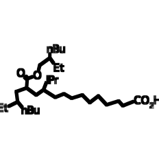 CCCCC(CC)COC(=O)C(CC(CC)CCCC)CC(CCCCCCCCCC(=O)O)C(C)C